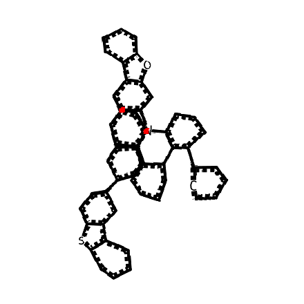 c1ccc(-c2ccccc2-c2c(-c3ccccc3)cccc2N(c2ccc(-c3ccc4sc5ccccc5c4c3)cc2)c2ccc3c(c2)oc2ccccc23)cc1